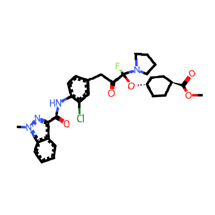 COC(=O)[C@H]1CC[C@H](OC(F)(C(=O)Cc2ccc(NC(=O)c3nn(C)c4ccccc34)c(Cl)c2)N2CCCC2)CC1